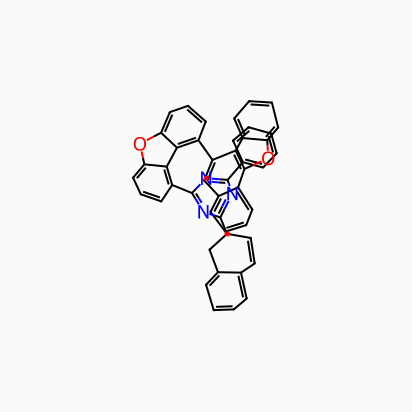 C1=CC(c2nc(-c3ccccc3)nc(-c3cccc4oc5cccc(-c6cc7ccccc7c7oc8ccccc8c67)c5c34)n2)Cc2ccccc21